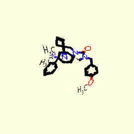 COc1ccc(CN2C[C@]3(CC[C@](c4ccccc4)(N(C)C)CC3)N(CC3(C#N)CCC3)C2=O)cc1